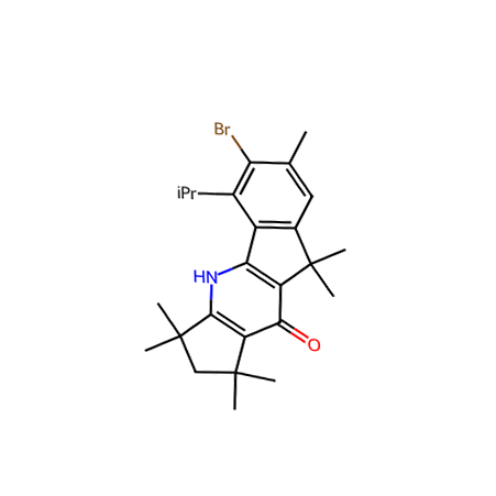 Cc1cc2c(c(C(C)C)c1Br)-c1[nH]c3c(c(=O)c1C2(C)C)C(C)(C)CC3(C)C